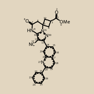 COC(=O)C1CC2(CC(=O)Nc3c(C#N)c(-c4ccc5ccc(-c6ccccc6)nc5c4)nn32)C1